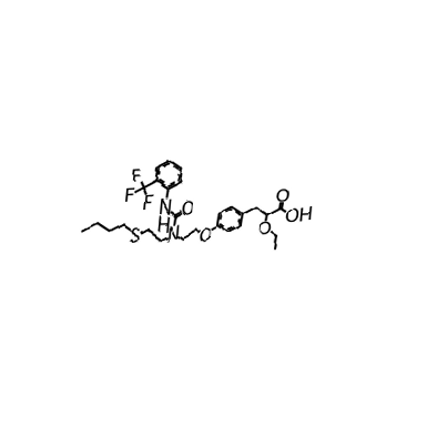 CCCCSCCN(CCOc1ccc(CC(OCC)C(=O)O)cc1)C(=O)Nc1ccccc1C(F)(F)F